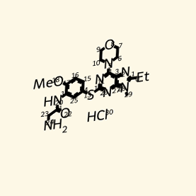 CCc1nc2c(N3CCOCC3)nc(Sc3ccc(OC)c(NC(=O)CN)c3)nc2n1C.Cl